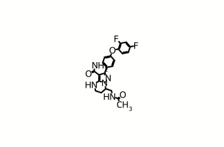 CC(=O)NCC1CCNc2c(C(N)=O)c(-c3ccc(Oc4ccc(F)cc4F)cc3)nn21